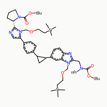 CCCN(Cc1nc2ccc(C3CC3c3ccc(-c4cnc([C@@H]5CCCN5C(=O)OC(C)(C)C)n4COCC[Si](C)(C)C)cc3)cc2n1COCC[Si](C)(C)C)C(=O)OC(C)(C)C